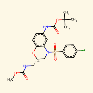 COC(=O)NC[C@H]1CN(S(=O)(=O)c2ccc(F)cc2)c2cc(NC(=O)OC(C)(C)C)ccc2O1